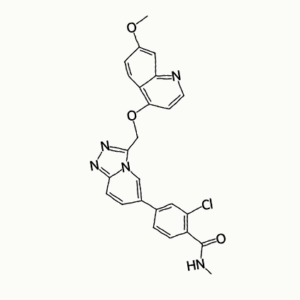 CNC(=O)c1ccc(-c2ccc3nnc(COc4ccnc5cc(OC)ccc45)n3c2)cc1Cl